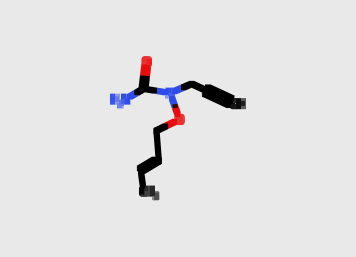 C#CCN(OCC=CC)C(N)=O